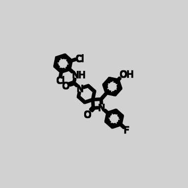 O=C(Nc1c(Cl)cccc1Cl)N1CCC2(CC1)C(=O)N(c1ccc(F)cc1)C2c1ccc(O)cc1